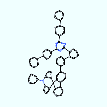 c1ccc(-c2ccc(-c3nc(-c4ccc(-c5ccccc5)cc4)nc(-c4ccccc4-c4cccc(-c5ccc6c(c5)C5(c7ccccc7-6)c6ccccc6N(c6ccccc6)c6ccccc65)c4)n3)cc2)cc1